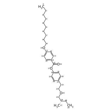 CCCCCCCCCCOc1ccc(C(=O)Oc2ccc(CCOC[C@@H](C)CC)cc2)cc1